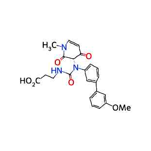 COc1cccc(-c2cccc(N(C(=O)NCCC(=O)O)[C@H]3C(=O)C=CN(C)C3=O)c2)c1